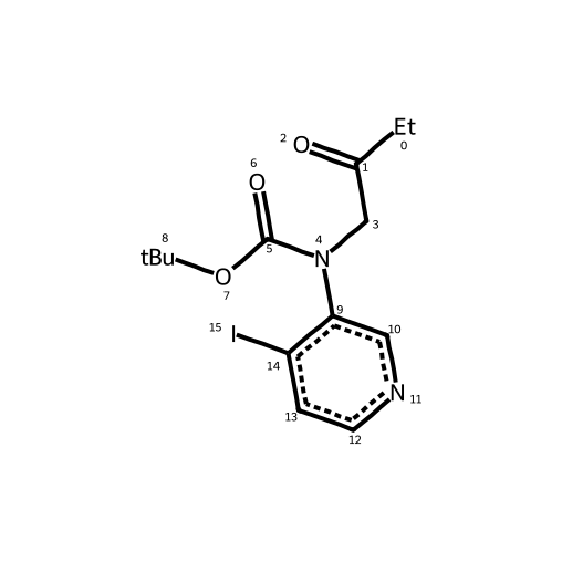 CCC(=O)CN(C(=O)OC(C)(C)C)c1cnccc1I